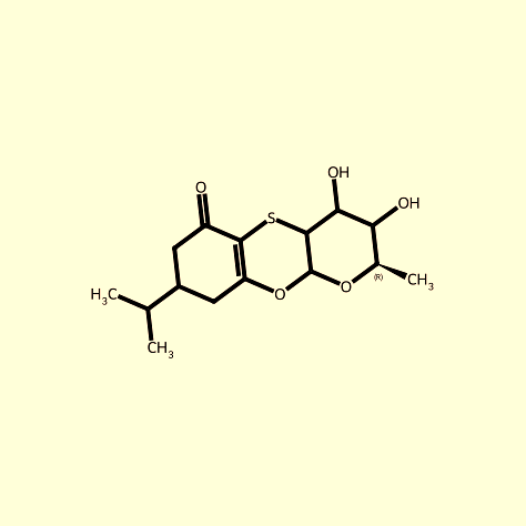 CC(C)C1CC(=O)C2=C(C1)OC1O[C@H](C)C(O)C(O)C1S2